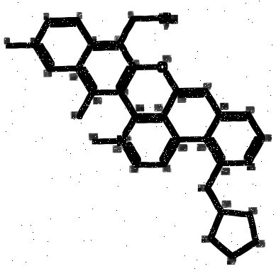 Cc1ccc2c(CC(C)(C)C)c3c(c(C)c2c1)-c1c2c(cc4cccc(CC5CCCC5)c4c2cc[n+]1C)O3